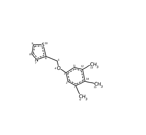 Cc1cc(OCc2n[c]cs2)cc(C)c1C